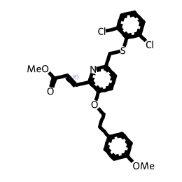 COC(=O)/C=C/c1nc(CSc2c(Cl)cccc2Cl)ccc1OCCc1ccc(OC)cc1